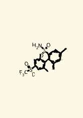 Cc1[c]c(C)c(-c2c(C)cc(S(=O)(=O)C(F)(F)F)cc2C)c(S(N)(=O)=O)c1